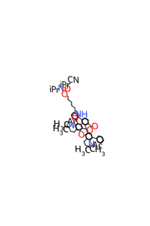 CC(=O)N1c2c(-c3ccccc3)cc3c(c2CCC1(C)C)Oc1c(cc(-c2ccccc2)c2c1CCC(C)(C)N2C(C)=O)C31OC(=O)c2ccc(C(=O)NCCCCCCOP(OCCC#N)N(C(C)C)C(C)C)cc21